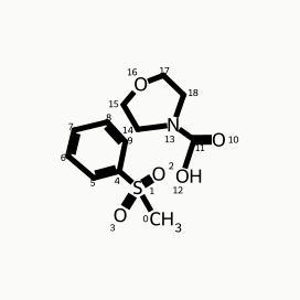 CS(=O)(=O)c1ccccc1.O=C(O)N1CCOCC1